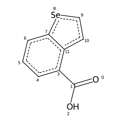 O=C(O)c1cccc2[se]ccc12